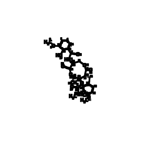 COc1ccnc(C(=O)N[C@H]2COC(=O)[C@H](Cc3ccc(C)cc3)[C@@H](OC(=O)C(C)C)[C@H](C)OC2=O)c1O